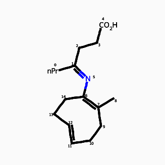 CCC/C(CCC(=O)O)=N\C1=C(/C)CC/C=C/CC1